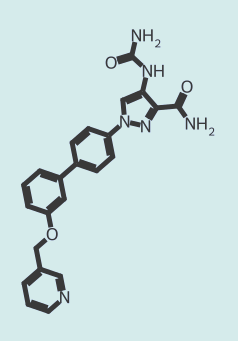 NC(=O)Nc1cn(-c2ccc(-c3cccc(OCc4cccnc4)c3)cc2)nc1C(N)=O